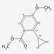 COC(=O)c1ccc(OC)cc1C1CC1